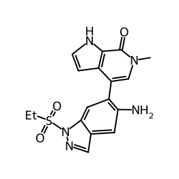 CCS(=O)(=O)n1ncc2cc(N)c(-c3cn(C)c(=O)c4[nH]ccc34)cc21